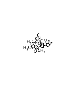 COC(=O)c1nc(Cl)ccc1N[C@H](C)c1cc(C)cc2c(=O)n(C)c(-c3ccc(-c4ccc(F)cc4)nc3)cc12